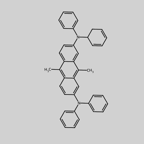 Cc1c2ccc(N(c3ccccc3)c3ccccc3)cc2c(C)c2cc(N(c3ccccc3)C3C=CC=CC3)ccc12